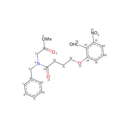 COC(=O)CN(Cc1ccccc1)C(=O)CCCOc1cccc([N+](=O)[O-])c1C=O